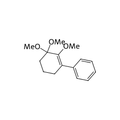 COC1=C(c2ccccc2)CCCC1(OC)OC